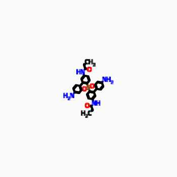 C=CC(=O)Nc1ccc(S(=O)(=O)c2ccc(NC(=O)C=C)cc2-c2ccc(N)cc2)c(-c2ccc(N)cc2)c1